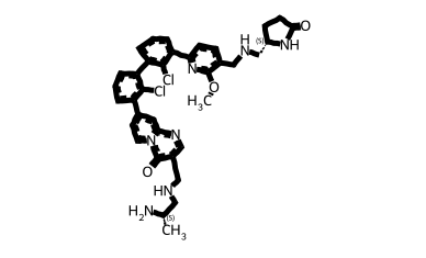 COc1nc(-c2cccc(-c3cccc(-c4ccn5c(=O)c(CNC[C@H](C)N)cnc5c4)c3Cl)c2Cl)ccc1CNC[C@@H]1CCC(=O)N1